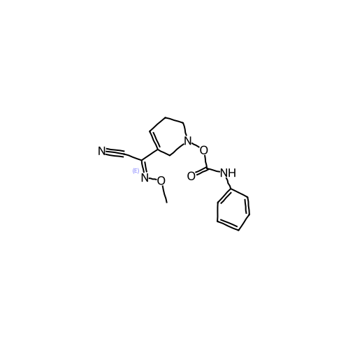 CO/N=C(/C#N)C1=CCCN(OC(=O)Nc2ccccc2)C1